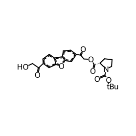 CC(C)(C)OC(=O)N1CCC[C@H]1C(=O)OCC(=O)c1ccc2c(c1)oc1cc(C(=O)CO)ccc12